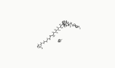 CCCCCCCCCCCCCCCCCC[N+](C)(C)CCCCOC.[Br-]